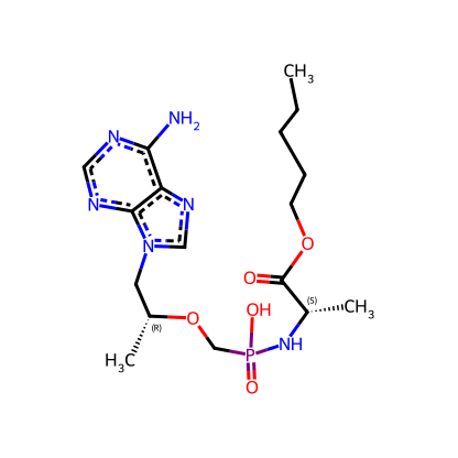 CCCCCOC(=O)[C@H](C)NP(=O)(O)CO[C@H](C)Cn1cnc2c(N)ncnc21